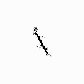 CCCC(=O)/C=C/C(C)=C/C=C/C=C(C)/C=C/C(=O)OCC